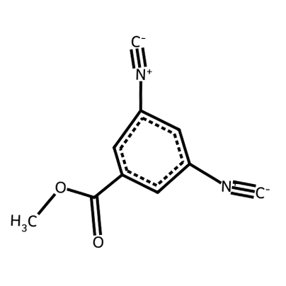 [C-]#[N+]c1cc([N+]#[C-])cc(C(=O)OC)c1